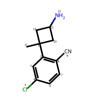 CC1(c2cc(Cl)ccc2C#N)CC(N)C1